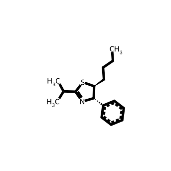 CCCC[C@@H]1SC(C(C)C)=N[C@H]1c1ccccc1